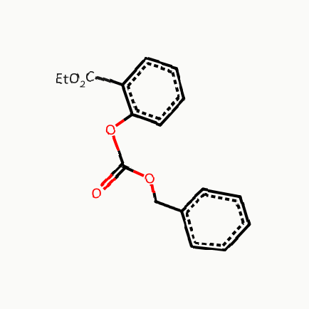 CCOC(=O)c1ccccc1OC(=O)OCc1ccccc1